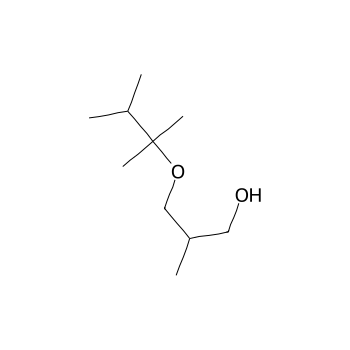 CC(CO)COC(C)(C)C(C)C